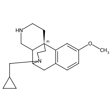 COc1ccc2c(c1)[C@@]13CCNCC1C(C2)N(CC1CC1)CC3